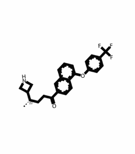 C[C@@H](CCC(=O)c1ccc2c(Oc3ccc(C(F)(F)F)cc3)cccc2c1)C1CNC1